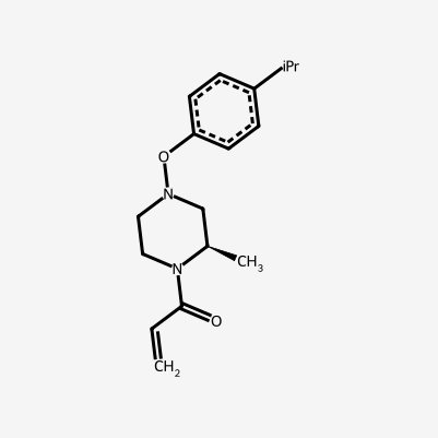 C=CC(=O)N1CCN(Oc2ccc(C(C)C)cc2)C[C@H]1C